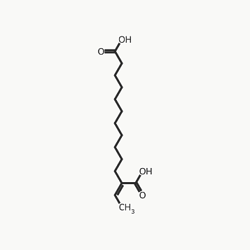 CC=C(CCCCCCCCCCC(=O)O)C(=O)O